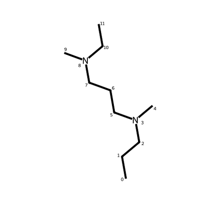 CCCN(C)CCCN(C)CC